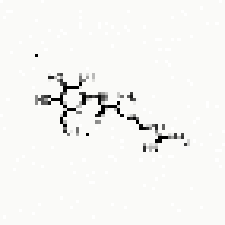 N=C(N)NCCCC(N)C(=O)NC1OC(CO)C(O)C(O)C1O